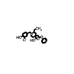 CCC1CC(CCOc2ccccc2)(C(=O)O)CCN1Cc1ccc(O)c(Cl)c1